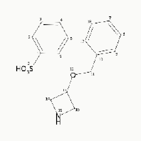 O=S(=O)(O)c1ccccc1.c1ccc(COC2CNC2)cc1